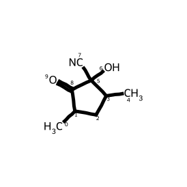 CC1CC(C)C(O)(C#N)C1=O